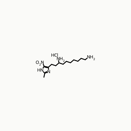 Cc1nc(CCC(N)CCCCCCCN)c([N+](=O)[O-])[nH]1.Cl